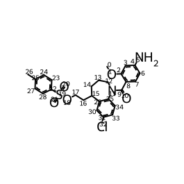 COc1cc(N)ccc1C(=O)N1CCCC(CCOS(=O)(=O)c2ccc(C)cc2)c2cc(Cl)ccc21